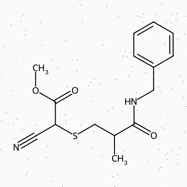 COC(=O)C(C#N)SCC(C)C(=O)NCc1ccccc1